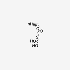 CCCCCCCCOC(=O)CCSCC(O)CO